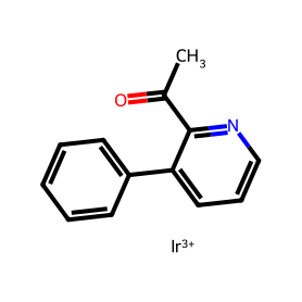 CC(=O)c1ncccc1-c1ccccc1.[Ir+3]